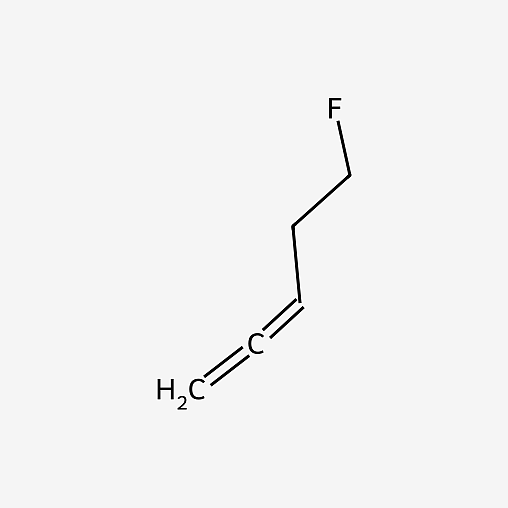 C=C=CCCF